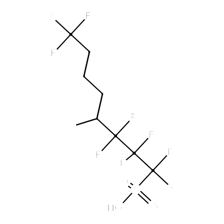 O=S(=O)(O)C(F)(F)C(F)(F)C(F)(F)C(F)CCCC(F)(F)F